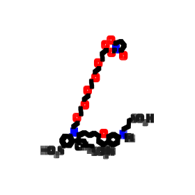 CCN(CCCS(=O)(=O)O)c1ccc2c(c1)OC(/C=C/C=C1/N(CCOCCOCCOCCOCCOCCC(=O)ON3C(=O)CCC3=O)c3ccc(S(=O)(=O)O)cc3C1(C)CCCS(=O)(=O)O)C=C2C(C)(C)C